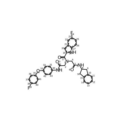 O=C(CN(CC(=O)NC1Cc2ccccc2C1)C(=O)c1cc2cc(F)ccc2[nH]1)Nc1ccc(Oc2ccc(F)cc2)cc1